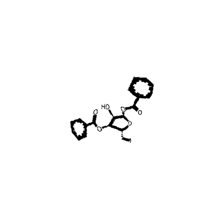 O=C(O[C@H]1O[C@H](CI)[C@@H](OC(=O)c2ccccc2)[C@H]1O)c1ccccc1